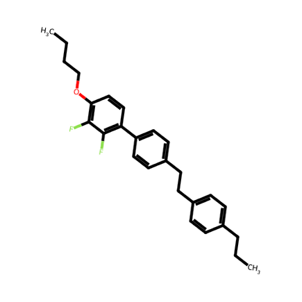 CCCCOc1ccc(-c2ccc(CCc3ccc(CCC)cc3)cc2)c(F)c1F